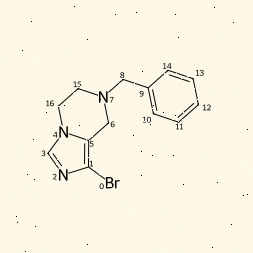 Brc1ncn2c1CN(Cc1ccccc1)CC2